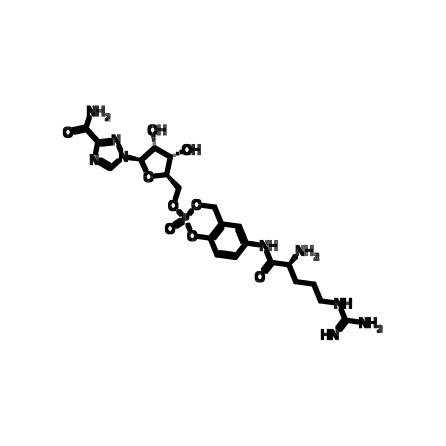 N=C(N)NCCC[C@H](N)C(=O)Nc1ccc2c(c1)COP(=O)(OC[C@H]1O[C@@H](n3cnc(C(N)=O)n3)[C@H](O)[C@@H]1O)O2